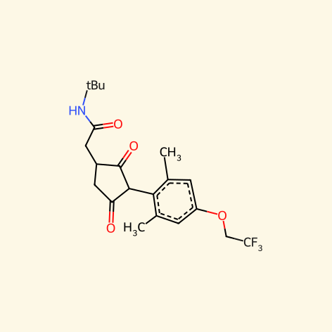 Cc1cc(OCC(F)(F)F)cc(C)c1C1C(=O)CC(CC(=O)NC(C)(C)C)C1=O